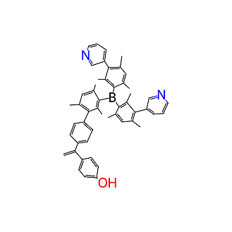 C=C(c1ccc(O)cc1)c1ccc(-c2c(C)cc(C)c(B(c3c(C)cc(C)c(-c4cccnc4)c3C)c3c(C)cc(C)c(-c4cccnc4)c3C)c2C)cc1